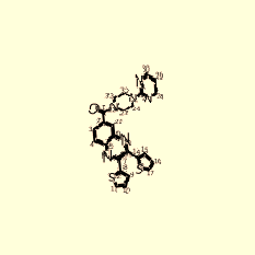 O=C(c1ccc2nc(-c3cccs3)c(-c3cccs3)nc2c1)N1CCN(c2ncccn2)CC1